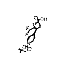 CC(C)(C)OC(=O)N1C=CC(=C2C=CC(C(=O)O)N=C2C(F)F)CC1